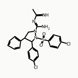 CC(=N)N=C(N)N1CC(c2ccccc2)C(c2ccc(Cl)cc2)N1S(=O)(=O)c1ccc(Cl)cc1